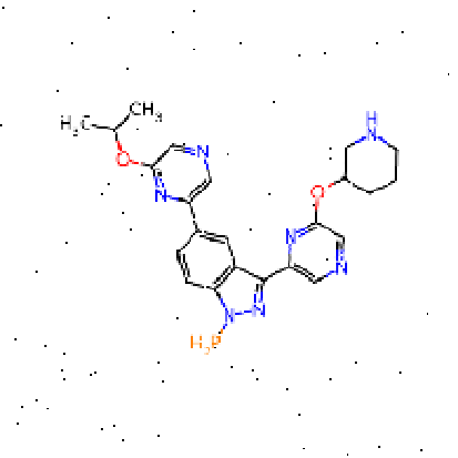 CC(C)Oc1cncc(-c2ccc3c(c2)c(-c2cncc(OC4CCCNC4)n2)nn3P)n1